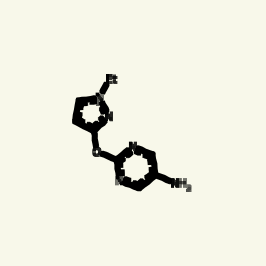 CCn1ccc(Oc2ncc(N)cn2)n1